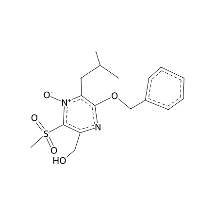 CC(C)Cc1c(OCc2ccccc2)nc(CO)c(S(C)(=O)=O)[n+]1[O-]